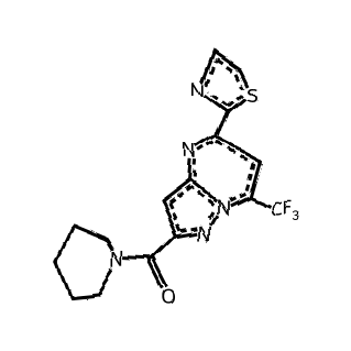 O=C(c1cc2nc(-c3nccs3)cc(C(F)(F)F)n2n1)N1CCCCC1